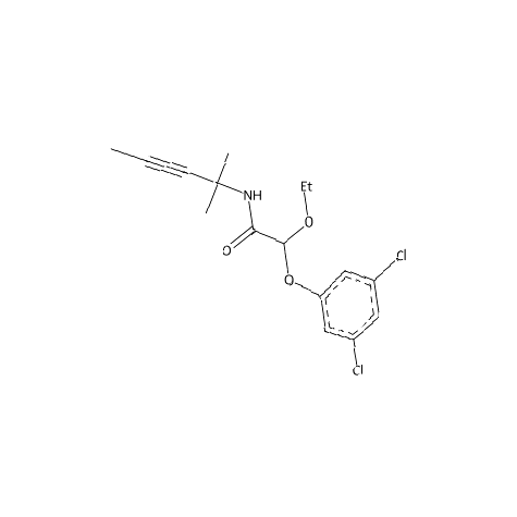 CC#CC(C)(C)NC(=O)C(OCC)Oc1cc(Cl)cc(Cl)c1